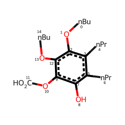 CCCCOc1c(CCC)c(CCC)c(O)c(OC(=O)O)c1OCCCC